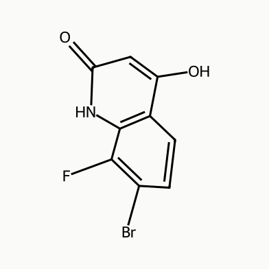 O=c1cc(O)c2ccc(Br)c(F)c2[nH]1